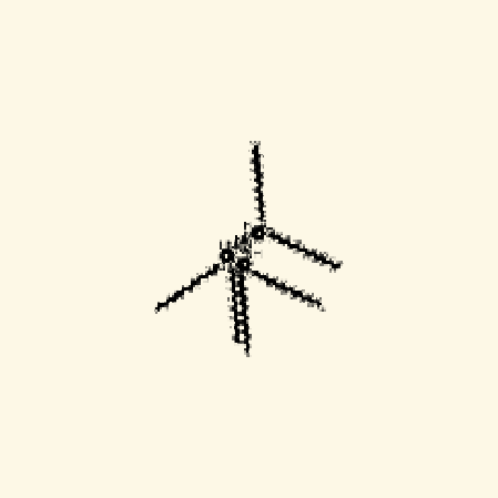 CCCCCCCCCCCCCCCCOc1ccc(Nc2nc(Nc3ccc(OCCCCCCCCCCCCCCCC)c(OCCCCCCCCCCCCCCCC)c3)nc(Nc3ccc(OCCCCCCCCCCCCCCCC)c(OCCCCCCCCCCCCCCCC)c3)n2)cc1OCCCCCCCCCCCCCCCC